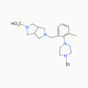 CCN1CCN(c2c(C)cccc2CN2CC3CN(C(=O)O)CC3C2)CC1